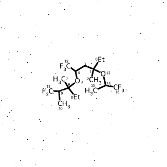 CCC(C)(CC(OC(C)(CC)C(C)C(F)(F)F)C(F)(F)F)OC(C)C(F)(F)F